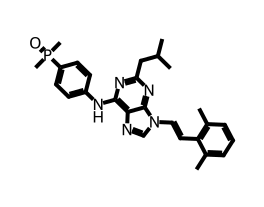 Cc1cccc(C)c1/C=C/n1cnc2c(Nc3ccc(P(C)(C)=O)cc3)nc(CC(C)C)nc21